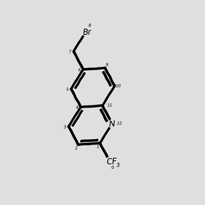 FC(F)(F)c1ccc2cc(CBr)ccc2n1